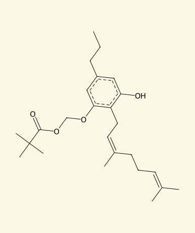 CCCc1cc(O)c(CC=C(C)CCC=C(C)C)c(OCOC(=O)C(C)(C)C)c1